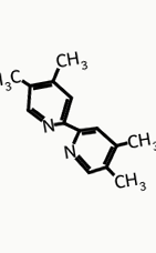 Cc1cnc(-c2cc(C)c(C)cn2)cc1C